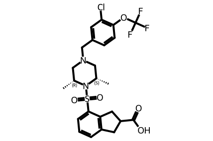 C[C@@H]1CN(Cc2ccc(OC(F)(F)F)c(Cl)c2)C[C@H](C)N1S(=O)(=O)c1cccc2c1CC(C(=O)O)C2